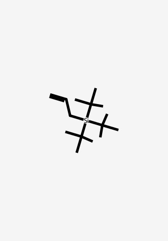 C=CC[Si](C(C)(C)C)(C(C)(C)C)C(C)(C)C